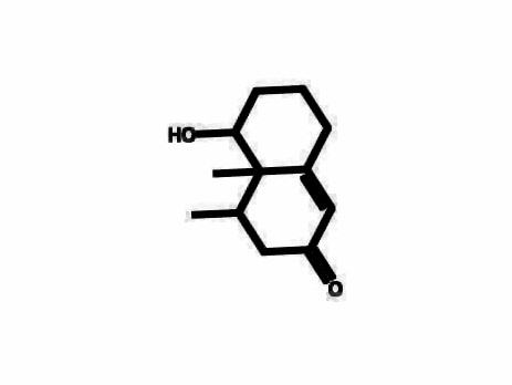 CC1CC(=O)C=C2CCCC(O)C21C